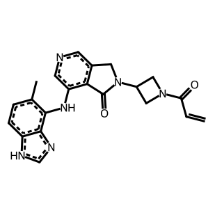 C=CC(=O)N1CC(N2Cc3cncc(Nc4c(C)ccc5[nH]cnc45)c3C2=O)C1